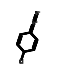 [N-]=[N+]=C1C=CC(Cl)C=C1